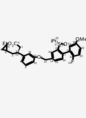 CCOC(=O)C[C@H](CC1CC1)c1cccc(OCc2ccc(-c3cc(OC)ccc3F)c([S@+]([O-])C(C)C)c2)c1